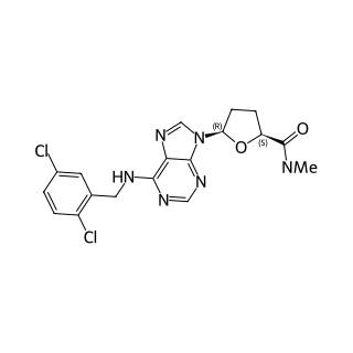 CNC(=O)[C@@H]1CC[C@H](n2cnc3c(NCc4cc(Cl)ccc4Cl)ncnc32)O1